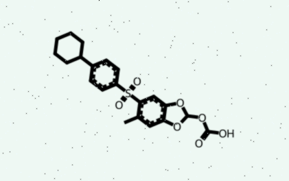 Cc1cc2c(cc1S(=O)(=O)c1ccc(C3CCCCC3)cc1)OC(OC(=O)O)O2